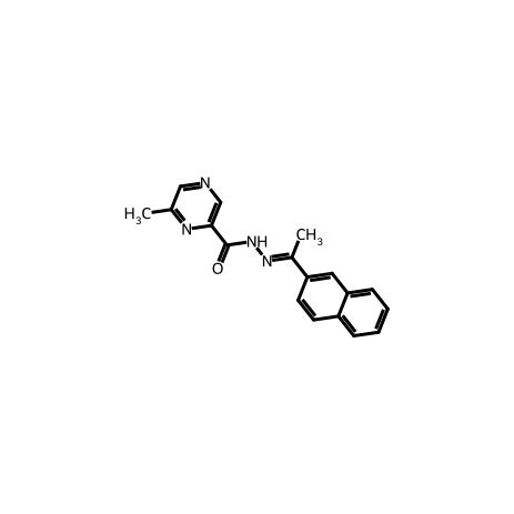 C/C(=N\NC(=O)c1cncc(C)n1)c1ccc2ccccc2c1